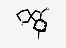 CCN1CC2(CCCNC2)c2cc(F)ccc21